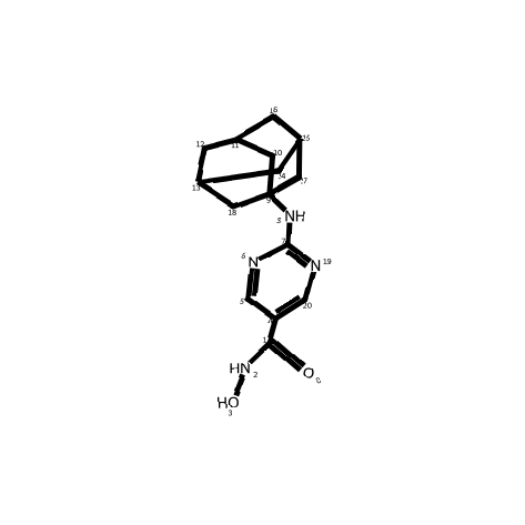 O=C(NO)c1cnc(NC23CC4CC(CC(C4)C2)C3)nc1